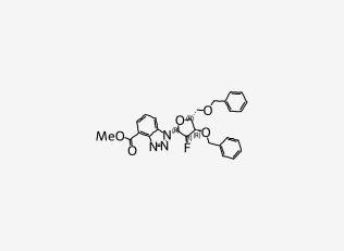 COC(=O)c1cccc2c1nnn2[C@@H]1O[C@H](COCc2ccccc2)[C@@H](OCc2ccccc2)[C@H]1F